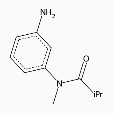 CC(C)C(=O)N(C)c1cccc(N)c1